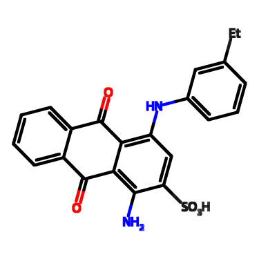 CCc1cccc(Nc2cc(S(=O)(=O)O)c(N)c3c2C(=O)c2ccccc2C3=O)c1